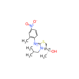 Cc1cc([N+](=O)[O-])ccc1/N=C1\SC[C@@H]([C@@H](C)O)N1CC(C)C